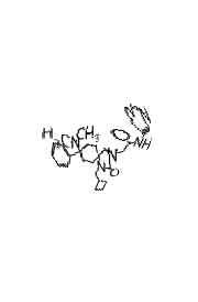 CN(C)C1(c2ccccc2)CCC2(CC1)CN(CC(=O)Nc1cncnc1)C(=O)N2CC1CCC1